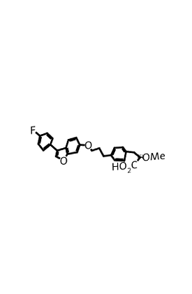 CO[C@@H](Cc1ccc(CCCOc2ccc3c(-c4ccc(F)cc4)coc3c2)cc1)C(=O)O